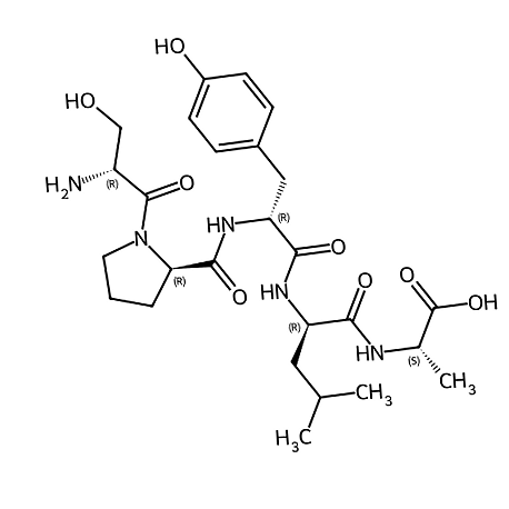 CC(C)C[C@@H](NC(=O)[C@@H](Cc1ccc(O)cc1)NC(=O)[C@H]1CCCN1C(=O)[C@H](N)CO)C(=O)N[C@@H](C)C(=O)O